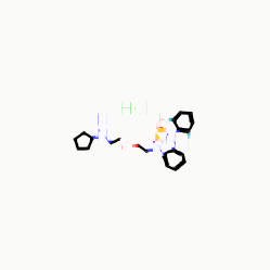 Cl.O=S1(=O)N(CCOCCNC2CCCC2)c2ccccc2N1c1c(F)cccc1F